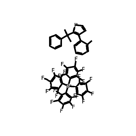 Cc1ccccc1C1=C(C(C)(C)c2ccccc2)[I+]C=C1.Fc1c(F)c(F)c([B-](c2c(F)c(F)c(F)c(F)c2F)(c2c(F)c(F)c(F)c(F)c2F)c2c(F)c(F)c(F)c(F)c2F)c(F)c1F